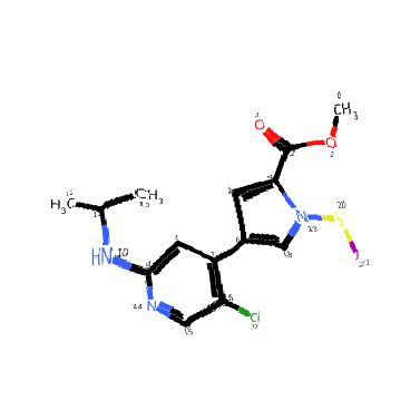 COC(=O)c1cc(-c2cc(NC(C)C)ncc2Cl)cn1SI